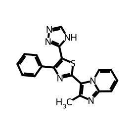 Cc1nc2ccccn2c1-c1nc(-c2ccccc2)c(-c2nnc[nH]2)s1